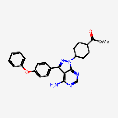 COC(=O)C1CCC(n2nc(-c3ccc(Oc4ccccc4)cc3)c3c(N)ncnc32)CC1